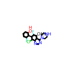 COc1c(F)c(-c2c(O)cccc2F)c(Cl)c2ncnc(N3CCNCC3)c12